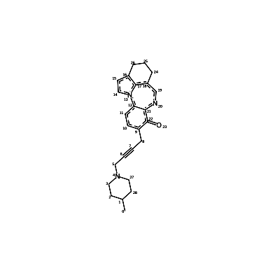 CC1CCN(CC#CCc2ccc3n4ccc5c4c(cnc-3c2=O)CCC5)CC1